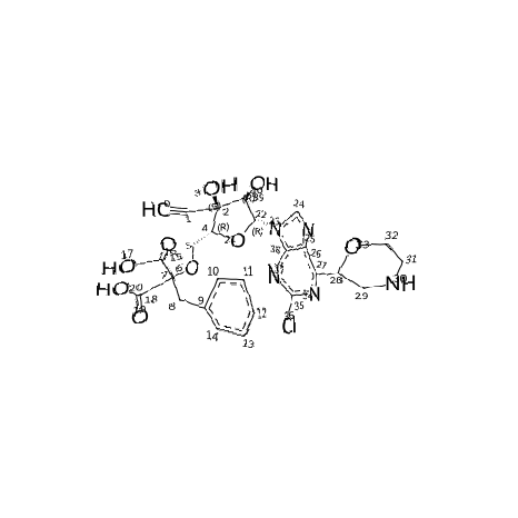 C#C[C@@]1(O)[C@@H](COC(Cc2ccccc2)(C(=O)O)C(=O)O)O[C@@H](n2cnc3c(C4CNCCO4)nc(Cl)nc32)[C@@H]1O